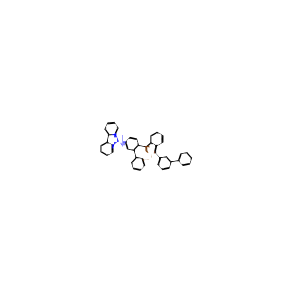 c1ccc(-c2cccc(-c3sc(-c4ccc(-n5c6ccccc6c6ccccc65)cc4-c4ccccc4)c4ccccc34)c2)cc1